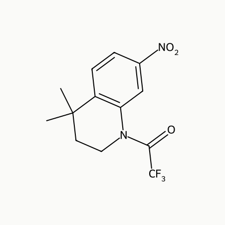 CC1(C)CCN(C(=O)C(F)(F)F)c2cc([N+](=O)[O-])ccc21